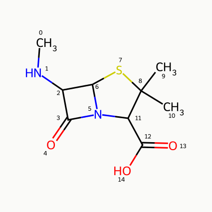 CNC1C(=O)N2C1SC(C)(C)C2C(=O)O